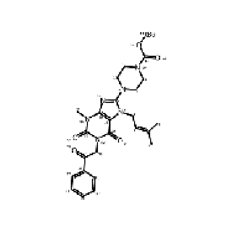 CC(C)=CCn1c(N2CCN(C(=O)OC(C)(C)C)CC2)nc2c1c(=O)n(CC(=O)c1ccccc1)c(=O)n2C